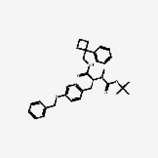 CN(C(=O)OC(C)(C)C)[C@@H](Cc1ccc(OCc2ccccc2)cc1)C(=O)NCC1(c2ccccc2)CCC1